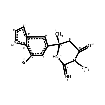 CN1C(=N)N[C@](C)(c2cc(Br)c3sccc3c2)CC1=O